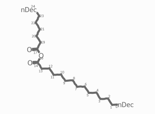 CCCCCCCCCCCCCCCCCCCCCCCC(=O)OC(=O)CCCCCCCCCCCCCCC